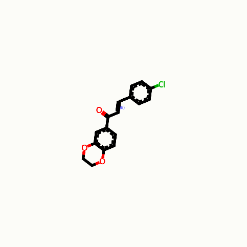 O=C(/C=C/c1ccc(Cl)cc1)c1ccc2c(c1)OCCO2